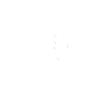 CC(C)(C)OC(=O)N1CC2CCC1(C(N=[N+]=[N-])c1ccccc1)CC2